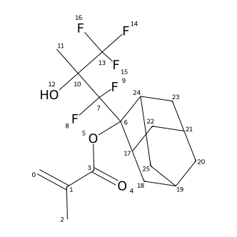 C=C(C)C(=O)OC1(C(F)(F)C(C)(O)C(F)(F)F)C2CC3CC(C2)CC1C3